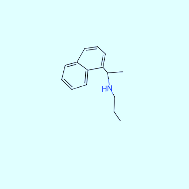 CCCNC(C)c1cccc2ccccc12